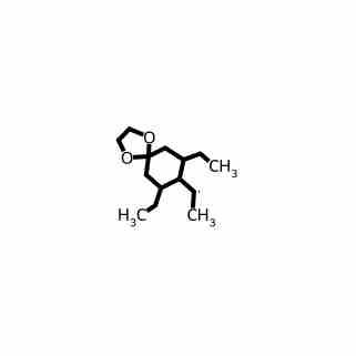 C[CH]C1C(CC)CC2(CC1CC)OCCO2